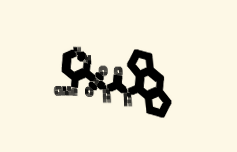 COc1ccnnc1S(=O)(=O)NC(=O)Nc1c2c(cc3c1CCC3)CCC2